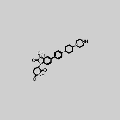 Cn1c(=O)n(C2CCC(=O)NC2=O)c2ccc(-c3ccc([C@H]4CC[C@H](N5CCNCC5)CC4)cc3)cc21